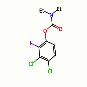 CCN(CC)C(=O)Oc1ccc(Cl)c(Cl)c1I